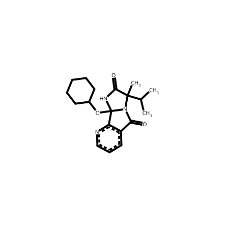 CC(C)C1(C)C(=O)NC2(OC3CCCCC3)c3ncccc3C(=O)N21